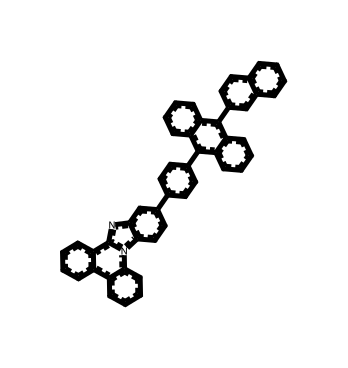 c1ccc2cc(-c3c4ccccc4c(-c4ccc(-c5ccc6c(c5)nc5c7ccccc7c7ccccc7n65)cc4)c4ccccc34)ccc2c1